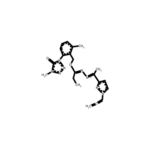 C=C=Cn1ccc(/C(C)=N/N=C(CC)OCc2c(C)cccc2-n2nnn(C)c2=O)n1